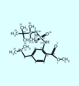 COC(=O)c1ccc(CN(C)C)cc1NS(=O)(=O)N[Si](C)(C)C(C)(C)C